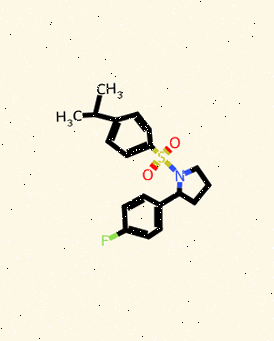 CC(C)c1ccc(S(=O)(=O)N2CCCC2c2ccc(F)cc2)cc1